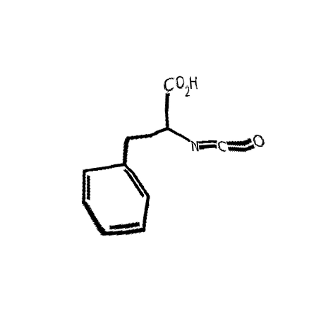 O=C=NC(Cc1ccccc1)C(=O)O